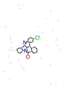 O=c1c2ccccc2c2c3cc(Cl)ccc3nc3c4ccccc4n1c32